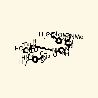 CNC(=O)c1nnc(Nc2ccc(C(=O)NCCCCCCC(=O)N[C@H](C(=O)N3C[C@H](O)C[C@H]3C(=O)N[C@@H](C)c3ccc(-c4scnc4C)cc3)C(C)(C)C)cn2)cc1Nc1cccc(-c2ncn(C)n2)c1OC